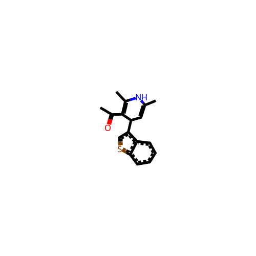 CC(=O)C1=C(C)NC(C)=CC1c1csc2ccccc12